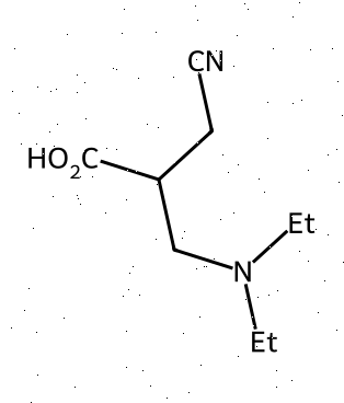 CCN(CC)CC(CC#N)C(=O)O